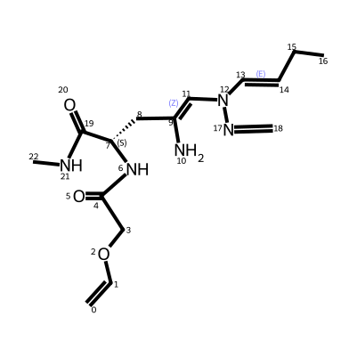 C=COCC(=O)N[C@@H](C/C(N)=C/N(/C=C/CC)N=C)C(=O)NC